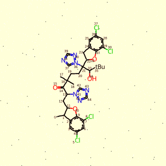 CC1c2cc(Cl)cc(Cl)c2OC1CC(C(=O)C(C)(C)CCC(C1Cc2cc(Cl)cc(Cl)c2O1)(C(O)C(C)(C)C)n1cncn1)n1cncn1